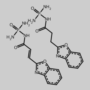 NP(N)(=O)NC(=O)C=Cc1nc2ccccc2o1.NP(N)(=O)NC(=O)CCc1nc2ccccc2o1